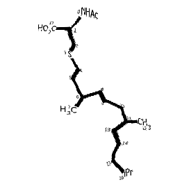 CC(=O)N[C@@H](CSCCC(C)CCCC(C)CCCC(C)C)C(=O)O